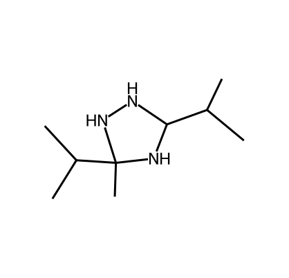 CC(C)C1NNC(C)(C(C)C)N1